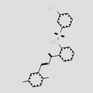 O=C(C=Cc1cc(O)ccc1O)c1ccccc1NS(=O)(=O)c1cccc(O)c1